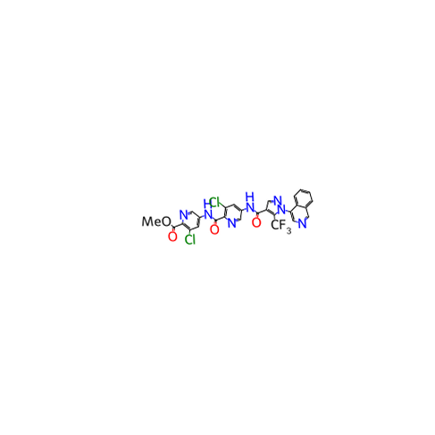 COC(=O)c1ncc(NC(=O)c2ncc(NC(=O)c3cnn(-c4cncc5ccccc45)c3C(F)(F)F)cc2Cl)cc1Cl